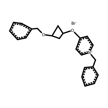 [Br-].c1ccc(COC2CC(Oc3cc[n+](Cc4ccccc4)cc3)C2)cc1